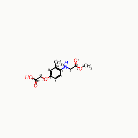 COC(=O)CNc1ccc(OCC(=O)O)cc1C